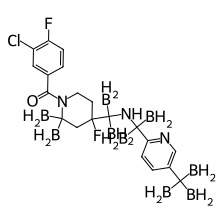 BC(B)(B)c1ccc(C(B)(B)NC(B)(B)C2(F)CCN(C(=O)c3ccc(F)c(Cl)c3)C(B)(B)C2)nc1